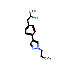 COCCn1cc(-c2ccc(C[C@H](N)C(=O)O)cc2)cn1